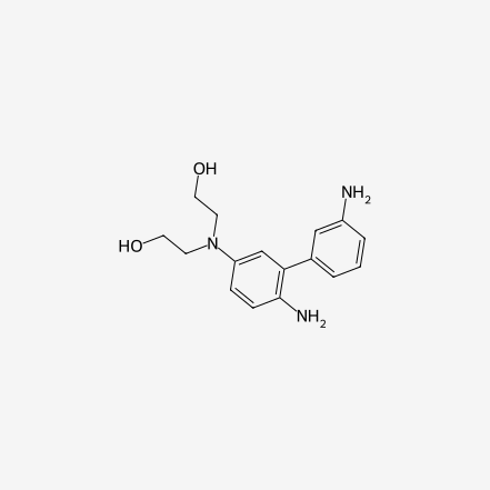 Nc1cccc(-c2cc(N(CCO)CCO)ccc2N)c1